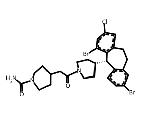 NC(=O)N1CCC(CC(=O)N2CCC([C@H]3c4ccc(Br)cc4CCc4cc(Cl)cc(Br)c43)CC2)CC1